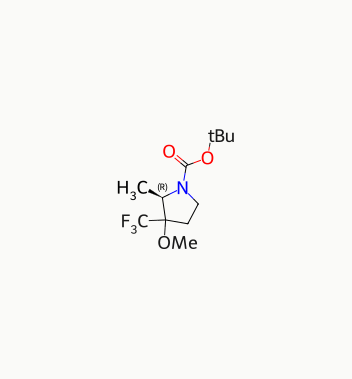 COC1(C(F)(F)F)CCN(C(=O)OC(C)(C)C)[C@@H]1C